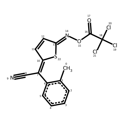 Cc1ccccc1C(C#N)=C1C=CC(=NOC(=O)C(Cl)(Cl)Cl)S1